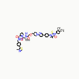 Cc1ncsc1-c1ccc(CNC(=O)[C@@H]2CCCN2C(=O)C(NC(=O)COCC2CCN(c3ccc(-c4ccc(N5C(=S)N(c6ccc(C#N)c(C(F)(F)F)c6)C(=O)C5(C)C)cc4)cn3)CC2)C(C)(C)C)cc1